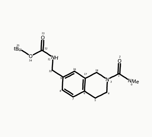 CNC(=O)N1CCc2ccc(CNC(=O)OC(C)(C)C)cc2C1